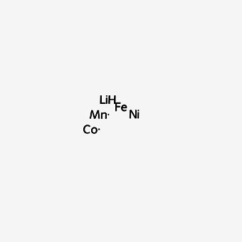 [Co].[Fe].[LiH].[Mn].[Ni]